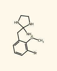 COc1c(Br)cccc1CC1(N)NCCN1